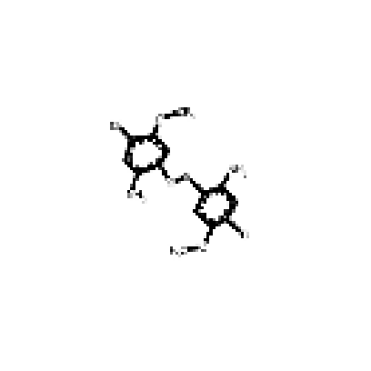 Nc1cc(Cl)c(OC(F)(F)F)cc1SSc1cc(OC(F)(F)F)c(Cl)cc1N